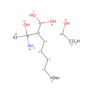 CCCCCCCCCCCCCCC(C(O)O)C(N)(O)CC.O=C(O)CO